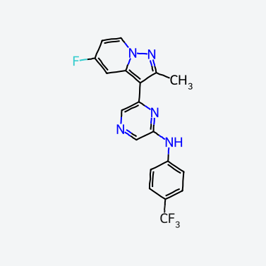 Cc1nn2ccc(F)cc2c1-c1cncc(Nc2ccc(C(F)(F)F)cc2)n1